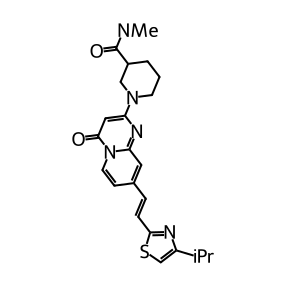 CNC(=O)C1CCCN(c2cc(=O)n3ccc(C=Cc4nc(C(C)C)cs4)cc3n2)C1